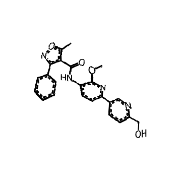 COc1nc(-c2ccc(CO)nc2)ccc1NC(=O)c1c(-c2ccccc2)noc1C